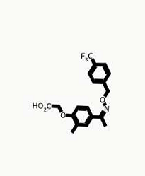 CC(=NOCc1ccc(C(F)(F)F)cc1)c1ccc(OCC(=O)O)c(C)c1